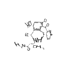 CC[C@@H](N[C@H](C)CC(N)=O)c1ccc(Cl)c(C(=O)c2ccccn2)c1F.Cl